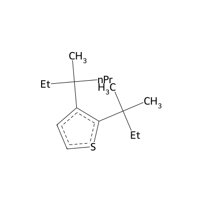 CCCC(C)(CC)c1ccsc1C(C)(C)CC